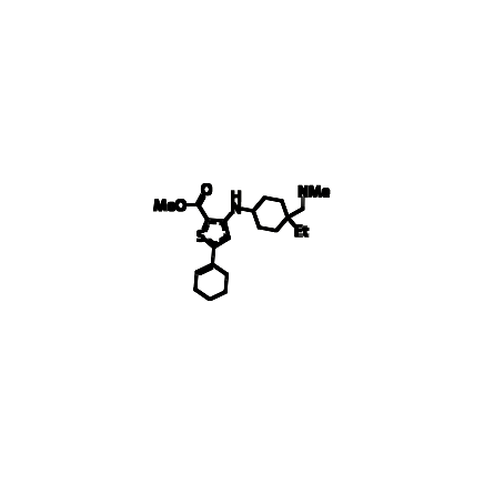 CCC1(CNC)CCC(Nc2cc(C3=CCCCC3)sc2C(=O)OC)CC1